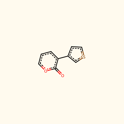 O=c1occcc1-c1ccsc1